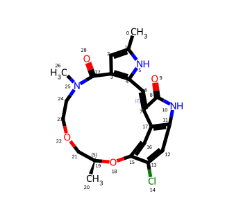 Cc1cc2c([nH]1)/C=C1\C(=O)Nc3cc(Cl)c(cc31)O[C@@H](C)COCCN(C)C2=O